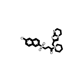 O=C(CCS(=O)(=O)c1ccc2cc(Cl)ccc2c1)[N+]1(CC2=CN3CCCN=C3S2)CCCCC1